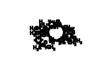 C=CC(=O)N(C)[C@@H]1CCCN(C(=O)N(C)[C@H](C(=O)N[C@H]2Cc3nc(cs3)-c3ccc4c(c3)c(c(-c3cccnc3[C@H](C)OC)n4CC)CC(C)(C)COC(=O)[C@@]3(O)CCCN(N3)C2=O)C(C)C)C1